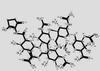 CC(=O)NC1[C@H](O[C@@H]2C(CO[C@@H]3OC(COC(C)=O)[C@@H](C)[C@H](C)C3OC(C)=O)O[C@@H](OC3[C@@H](O[PH](=O)O)OC(C(N)=O)[C@@](C)(O)[C@@H]3OC(N)=O)C(NC(C)=O)[C@H]2C)OC(C)[C@@H](O[C@@H]2OC(C(=O)NC3=C(O)CCC3=O)[C@H](C)[C@H](C)C2OC(C)=O)[C@@H]1C